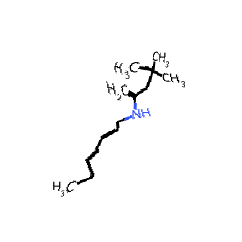 C=C(CC(C)(C)C)NC/C=C/CCCC